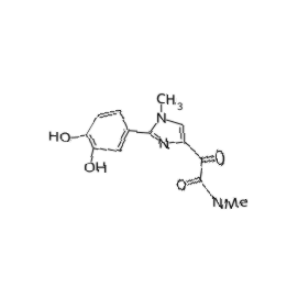 CNC(=O)C(=O)c1cn(C)c(-c2ccc(O)c(O)c2)n1